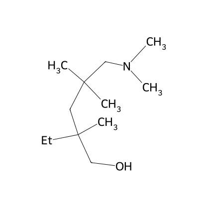 CCC(C)(CO)CC(C)(C)CN(C)C